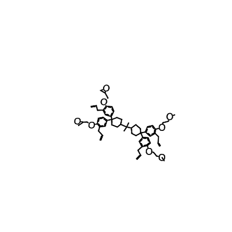 C=CCc1cc(C2(c3ccc(OCCOC)c(CC=C)c3)CCC(C(C)(C)C3CCC(c4ccc(OCC5CO5)c(CC=C)c4)(c4ccc(OCC5CO5)c(CC=C)c4)CC3)CC2)ccc1OCCOC